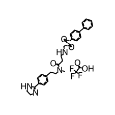 CN(CCc1ccc(C2=NCCN2)cc1)C(=O)CCNCS(=O)(=O)c1ccc(-c2ccccc2)cc1.O=C(O)C(F)(F)F